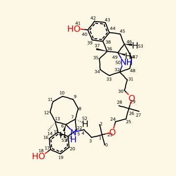 CC(C)(CCN[C@H]1[C@H]2CCCCC[C@]1(C)c1cc(O)ccc1C2)OCCC(C)(C)OCCC12CCC[C@]3(C)c4cc(O)ccc4C[C@H](CC1)[C@@H]3N2